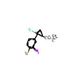 CCOC(=O)C1C[C@@]1(F)c1ccc(Br)c(I)c1